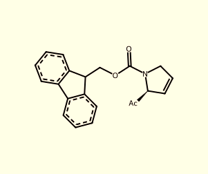 CC(=O)[C@@H]1C=CCN1C(=O)OCC1c2ccccc2-c2ccccc21